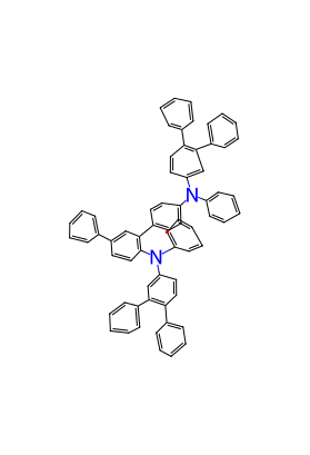 c1ccc(-c2ccc(N(c3ccccc3)c3ccc(-c4ccccc4)c(-c4ccccc4)c3)c(-c3ccc(N(c4ccccc4)c4ccc(-c5ccccc5)c(-c5ccccc5)c4)cc3)c2)cc1